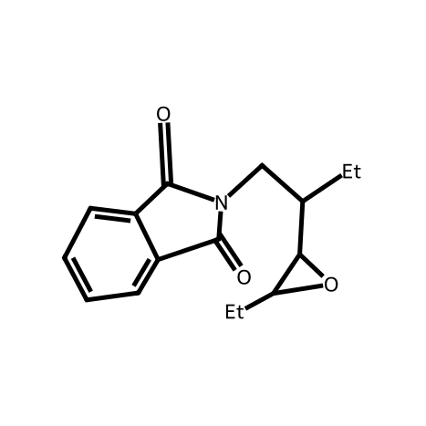 CCC(CN1C(=O)c2ccccc2C1=O)C1OC1CC